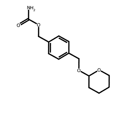 NC(=O)OCc1ccc(COC2CCCCO2)cc1